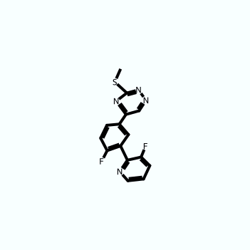 CSc1nncc(-c2ccc(F)c(-c3ncccc3F)c2)n1